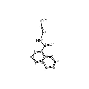 CCCC=NNC(=O)c1cccc2ccccc12